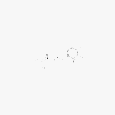 N[C@@H](CO)C(=O)NCCc1ccc(O)c(F)c1O